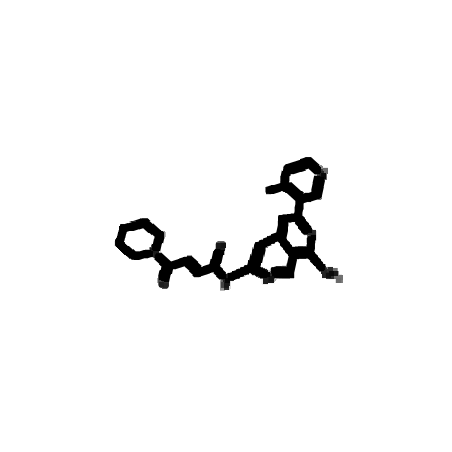 Cc1ccncc1-c1cc2cc(NC(=O)/C=C/C(=O)N3CCCCC3)ncc2c(N)n1